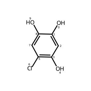 Oc1cc(O)c(Cl)cc1O